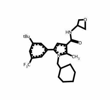 Cc1c(C(=O)NC2COC2)cc(-c2cc(C(C)(C)C)cc(C(F)(F)F)c2)n1CC1CCCCC1